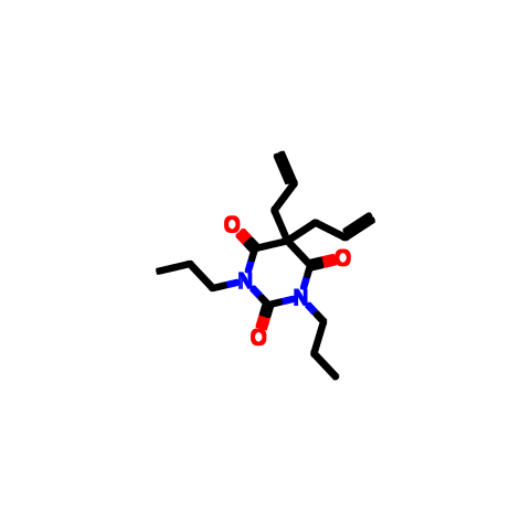 C=CCC1(CC=C)C(=O)N(CCC)C(=O)N(CCC)C1=O